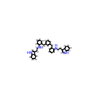 c1cc(Cc2ccccc2NCCc2c[nH]c3ccccc23)cc(Cc2ccccc2NCCc2c[nH]c3ccccc23)c1